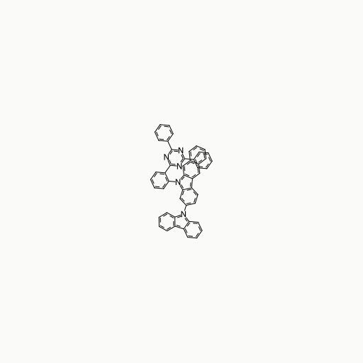 c1ccc(-c2nc(-c3ccccc3)nc(-c3ccccc3-n3c4cc(-n5c6ccccc6c6ccccc65)ccc4c4cc5ccccc5cc43)n2)cc1